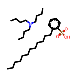 CCCCCCCCCCCCc1ccccc1S(=O)(=O)O.CCCCN(CCCC)CCCC